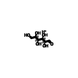 O=C[C@H](O)[C@@H](O)[C@H](O)[C@H](O)CO.[H+]